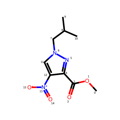 COC(=O)c1nn(CC(C)C)cc1[N+](=O)[O-]